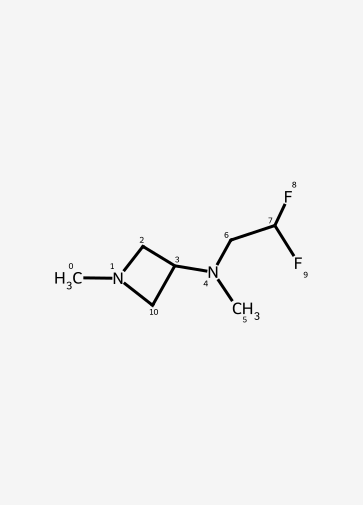 CN1CC(N(C)CC(F)F)C1